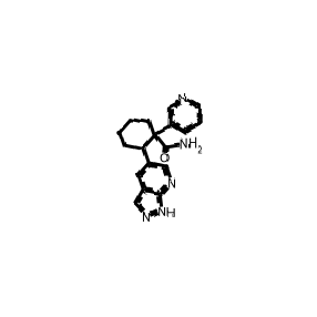 NC(=O)C1(c2cccnc2)CCCCC1c1cnc2[nH]ncc2c1